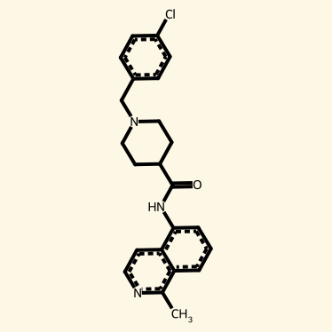 Cc1nccc2c(NC(=O)C3CCN(Cc4ccc(Cl)cc4)CC3)cccc12